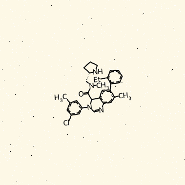 CCc1ccc[c]c1-c1cc2c(cc1C)N=CN(c1cc(C)cc(Cl)c1)C2C(=O)N(C)C[C@@H]1CCCN1